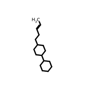 CC=CCCC1CCC(C2CCCCC2)CC1